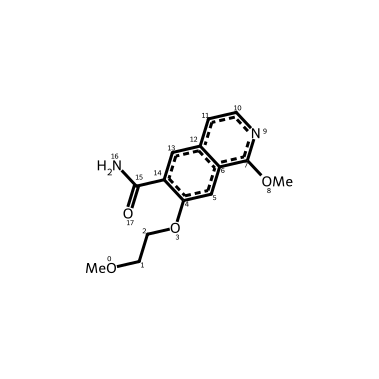 COCCOc1cc2c(OC)nccc2cc1C(N)=O